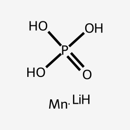 O=P(O)(O)O.[LiH].[Mn]